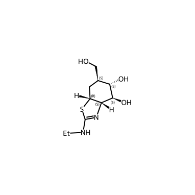 CCNC1=N[C@H]2[C@H](O)[C@@H](O)[C@H](CO)C[C@H]2S1